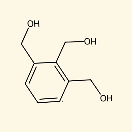 OCc1[c]ccc(CO)c1CO